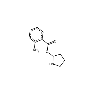 Nc1ccccc1C(=O)OC1CCCN1